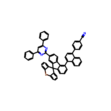 N#Cc1ccc(-c2ccc(-c3cccc4c3-c3ccc(-c5nc(-c6ccccc6)cc(-c6ccccc6)n5)cc3C43c4ccccc4Sc4ccccc43)c3ccccc23)cc1